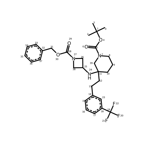 CC(C)(C)OC(=O)N1CCCC(CCc2cccc(C(F)(F)F)c2)(NC2CN(C(=O)OCc3ccccc3)C2)C1